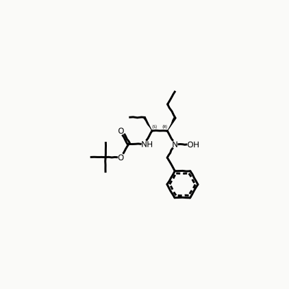 CCC[C@H]([C@H](CC)NC(=O)OC(C)(C)C)N(O)Cc1ccccc1